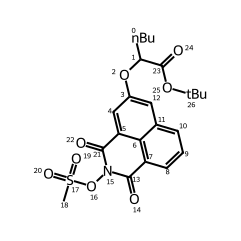 CCCCC(Oc1cc2c3c(cccc3c1)C(=O)N(OS(C)(=O)=O)C2=O)C(=O)OC(C)(C)C